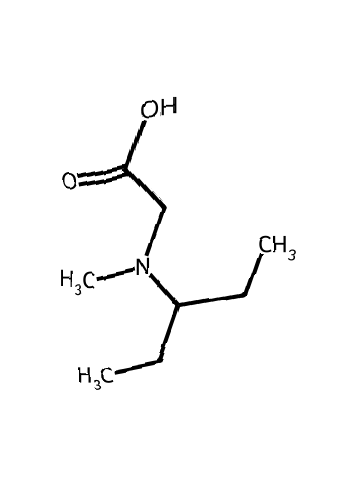 CCC(CC)N(C)CC(=O)O